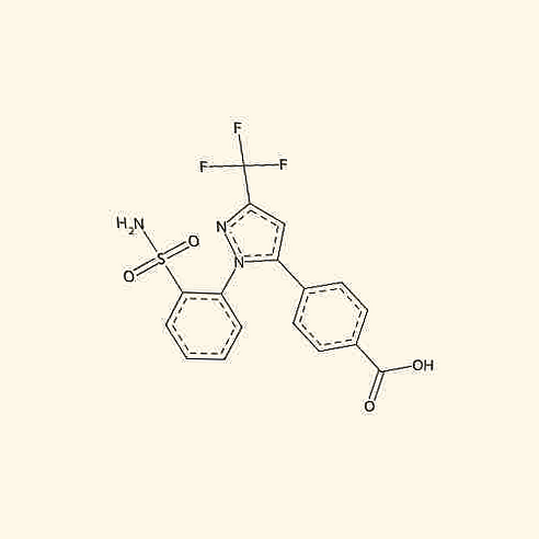 NS(=O)(=O)c1ccccc1-n1nc(C(F)(F)F)cc1-c1ccc(C(=O)O)cc1